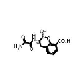 NC(=O)C(=O)N[C@H]1Cc2cccc(C(=O)O)c2OB1O